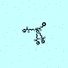 O=C(NC(COCCCNC(=O)n1ccnc1)(COCCCNC(=O)n1ccnc1)COCCCNC(=O)n1ccnc1)OCc1ccccc1